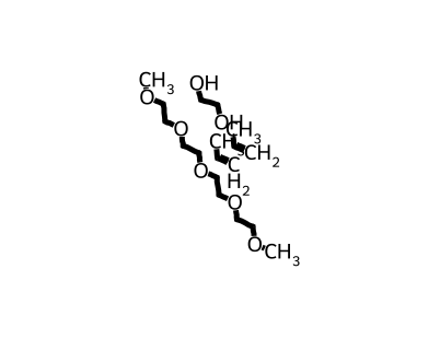 C=CC.C=CC.COCCOCCOCCOCCOC.OCCO